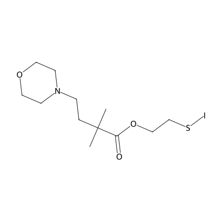 CC(C)(CCN1CCOCC1)C(=O)OCCSI